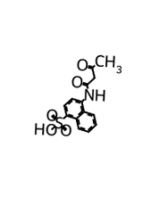 CC(=O)CC(=O)Nc1ccc(S(=O)(=O)O)c2ccccc12